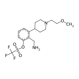 COCCN1CCC(c2cccc(OS(=O)(=O)C(F)(F)F)c2CN)CC1